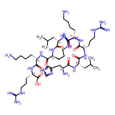 CC(C)C[C@H](NC(=O)[C@H](CCCCN)NC(=O)[C@H](CCCNC(=N)N)NC(=O)[C@H](CC(C)C)NC(=O)[C@@H](N)Cc1c[nH]cn1)C(=O)N[C@@H](CCCNC(=N)N)C(=O)N[C@@H](CCCCN)C(=O)N[C@@H](CCCNC(=N)N)C(=O)O